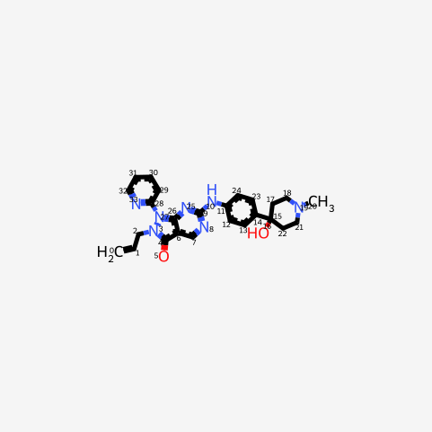 C=CCn1c(=O)c2cnc(Nc3ccc(C4(O)CCN(C)CC4)cc3)nc2n1-c1ccccn1